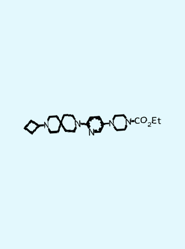 CCOC(=O)N1CCN(c2ccc(N3CCC4(CC3)CCN(C3CCC3)CC4)nc2)CC1